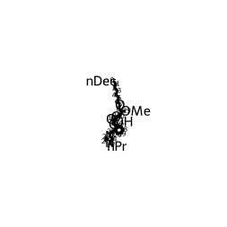 CCCCCCCCCCCCCCCCOCC(COP(=O)(O)Oc1ccccc1CN1[CH]N(CCC)C=C1)OC